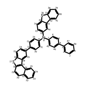 c1ccc(-c2ccc(N(c3ccc(-c4ccc5sc6ccc7ccccc7c6c5c4)cc3)c3ccc4sc5ccccc5c4c3)cc2)cc1